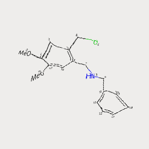 COc1cc(CCl)c(CNCc2ccccc2)cc1OC